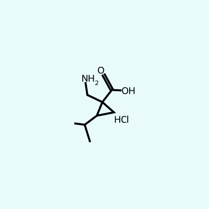 CC(C)C1CC1(CN)C(=O)O.Cl